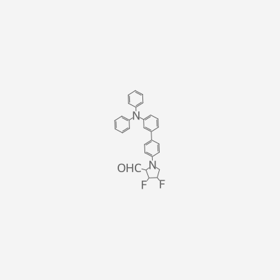 O=CC1C(F)C(F)CN1c1ccc(-c2cccc(N(c3ccccc3)c3ccccc3)c2)cc1